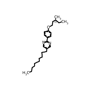 CCCCCCCCCCc1cnc(-c2ccc(OCC[C@@H](C)CC)cc2)nc1